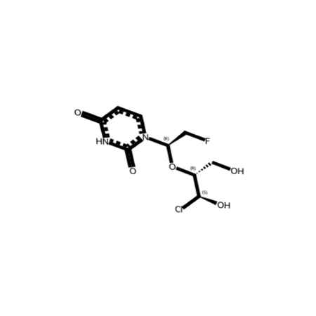 O=c1ccn([C@@H](CF)O[C@H](CO)[C@@H](O)Cl)c(=O)[nH]1